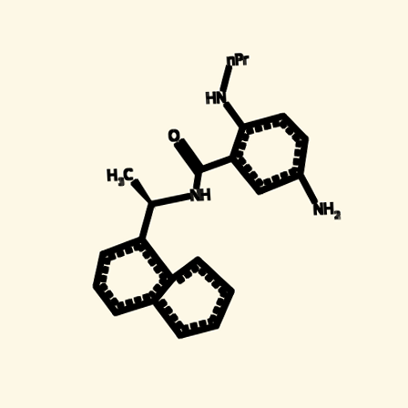 CCCNc1ccc(N)cc1C(=O)N[C@H](C)c1cccc2ccccc12